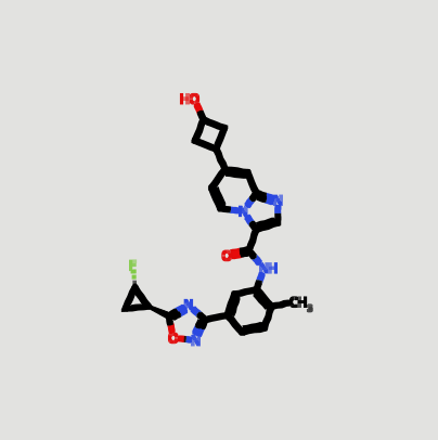 Cc1ccc(-c2noc([C@H]3C[C@@H]3F)n2)cc1NC(=O)c1cnc2cc(C3CC(O)C3)ccn12